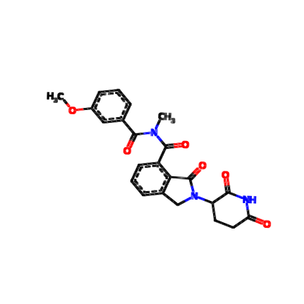 COc1cccc(C(=O)N(C)C(=O)c2cccc3c2C(=O)N(C2CCC(=O)NC2=O)C3)c1